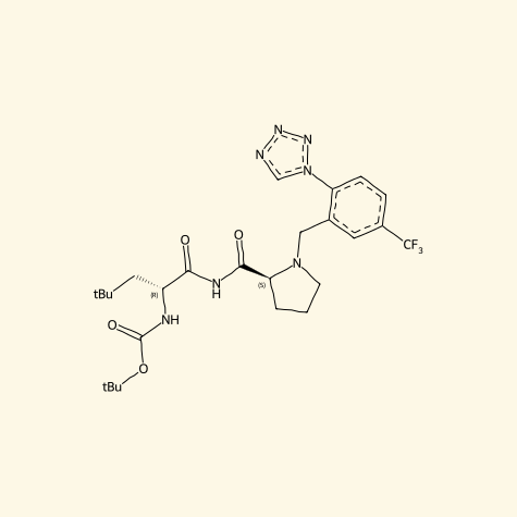 CC(C)(C)C[C@@H](NC(=O)OC(C)(C)C)C(=O)NC(=O)[C@@H]1CCCN1Cc1cc(C(F)(F)F)ccc1-n1cnnn1